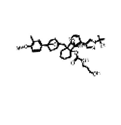 CCC(C)(C)n1cc(-c2ccnc(C3(CC45CCC(c6ccc(OC)c(C)c6)(CC4)CC5)CCCCC3(OC(=O)NCCCO)C(N)=O)c2)cn1